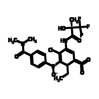 CCC1C([S+]([O-])c2ccc(C(=O)N(C)C)cc2)=C(Cl)C(NC(=O)[C@@](C)(O)C(F)(F)F)=CC1=S(=O)=O